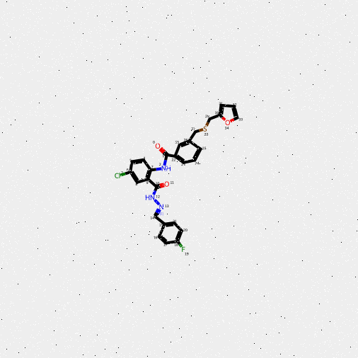 O=C(Nc1ccc(Cl)cc1C(=O)N/N=C/c1ccc(F)cc1)c1cccc(CSCc2ccco2)c1